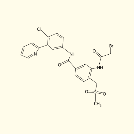 CS(=O)(=O)Cc1ccc(C(=O)Nc2ccc(Cl)c(-c3ccccn3)c2)cc1NC(=O)CBr